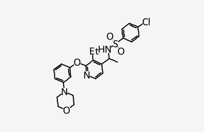 CCc1c(C(C)NS(=O)(=O)c2ccc(Cl)cc2)ccnc1Oc1cccc(N2CCOCC2)c1